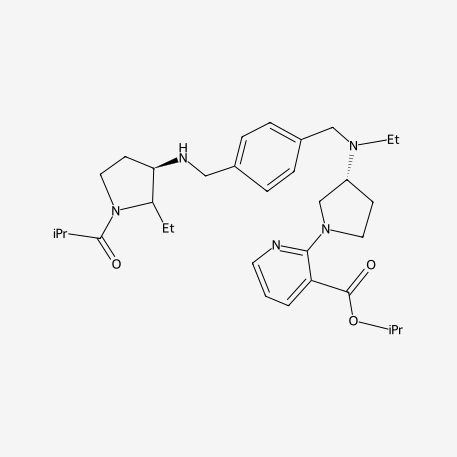 CCC1[C@H](NCc2ccc(CN(CC)[C@@H]3CCN(c4ncccc4C(=O)OC(C)C)C3)cc2)CCN1C(=O)C(C)C